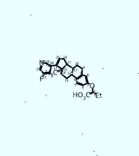 CCC(Oc1ccc2c(c1)CCC1C2CC[C@]2(C)C(c3cncc(F)c3)=CCC12)C(=O)O